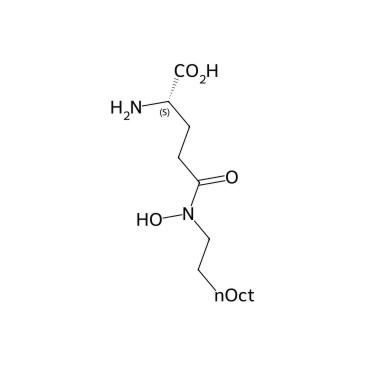 CCCCCCCCCCN(O)C(=O)CC[C@H](N)C(=O)O